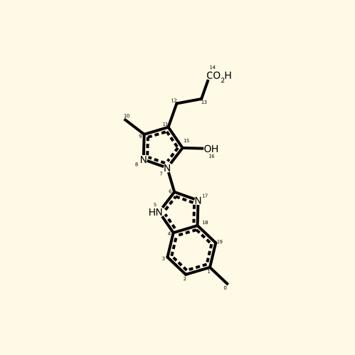 Cc1ccc2[nH]c(-n3nc(C)c(CCC(=O)O)c3O)nc2c1